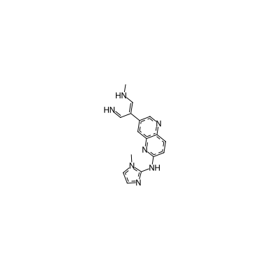 CN/C=C(\C=N)c1cnc2ccc(Nc3nccn3C)nc2c1